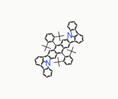 CC(C)(C)c1cccc(C(C)(C)C)c1-c1c2cc3c4cccc5c6ccccc6n(c3cc2c(-c2c(C(C)(C)C)cccc2C(C)(C)C)c2cc3c6cccc7c8ccccc8n(c3cc12)c76)c54